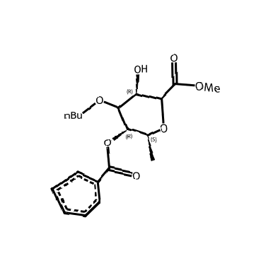 CCCCOC1[C@@H](O)C(C(=O)OC)O[C@@H](C)[C@H]1OC(=O)c1ccccc1